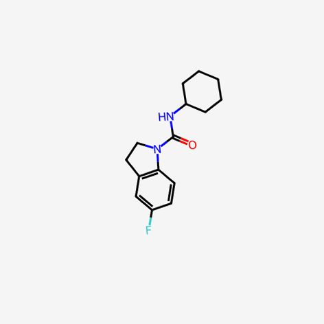 O=C(NC1CCCCC1)N1CCc2cc(F)ccc21